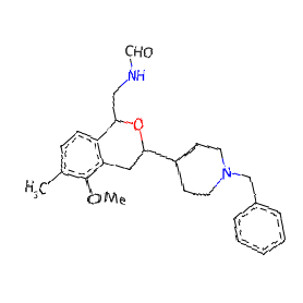 COc1c(C)ccc2c1CC(C1CCN(Cc3ccccc3)CC1)OC2CNC=O